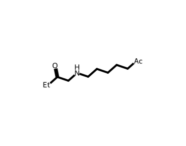 CCC(=O)CNCCCCCC(C)=O